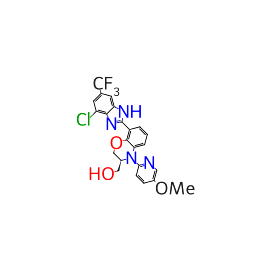 COc1ccc(N2c3cccc(-c4nc5c(Cl)cc(C(F)(F)F)cc5[nH]4)c3OC[C@@H]2CO)nc1